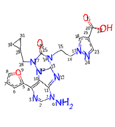 NN1C=NC(c2ccco2)=C2C1=NC1N(CCn3cc(C(=O)O)cn3)C(=O)N(CC3CC3)N21